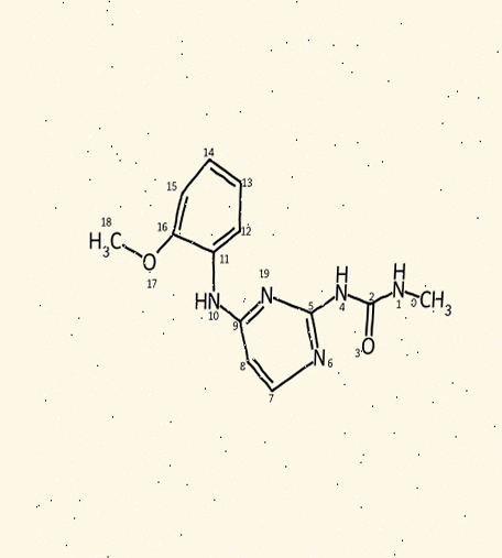 CNC(=O)Nc1nccc(Nc2ccccc2OC)n1